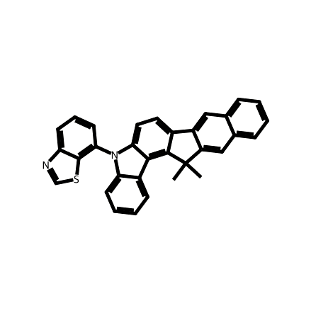 CC1(C)c2cc3ccccc3cc2-c2ccc3c(c21)c1ccccc1n3-c1cccc2ncsc12